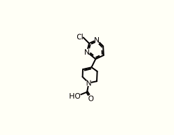 O=C(O)N1CC=C(c2ccnc(Cl)n2)CC1